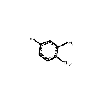 [CH2]c1ccc(Br)cc1N